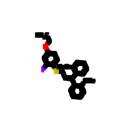 COc1ccccc1C(=CCSc1ccc(OCC(=O)O)cc1I)c1ccccc1OC